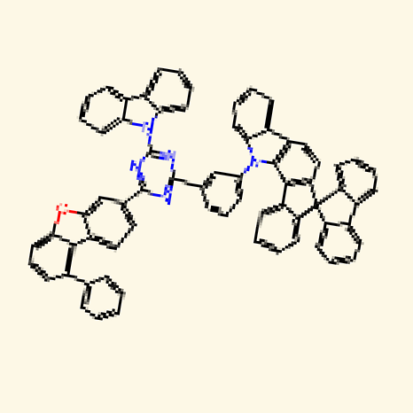 c1ccc(-c2cccc3oc4cc(-c5nc(-c6cccc(-n7c8ccccc8c8ccc9c(c87)-c7ccccc7C97c8ccccc8-c8ccccc87)c6)nc(-n6c7ccccc7c7ccccc76)n5)ccc4c23)cc1